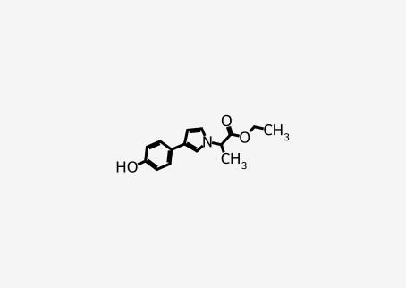 CCOC(=O)C(C)n1ccc(-c2ccc(O)cc2)c1